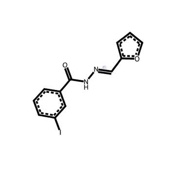 O=C(N/N=C/c1ccco1)c1cccc(I)c1